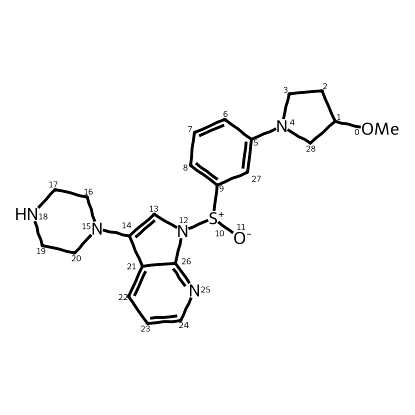 COC1CCN(c2cccc([S+]([O-])n3cc(N4CCNCC4)c4cccnc43)c2)C1